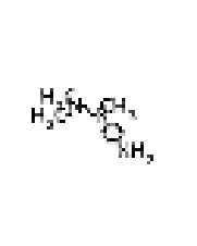 CCN(C)CCN(C)c1ccc(N)cc1